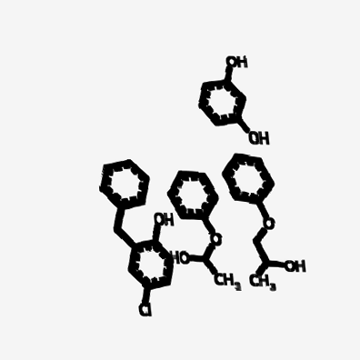 CC(O)COc1ccccc1.CC(O)Oc1ccccc1.Oc1ccc(Cl)cc1Cc1ccccc1.Oc1cccc(O)c1